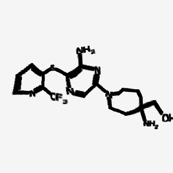 Nc1nc(N2CCC(N)(CO)CC2)cnc1Sc1cccnc1C(F)(F)F